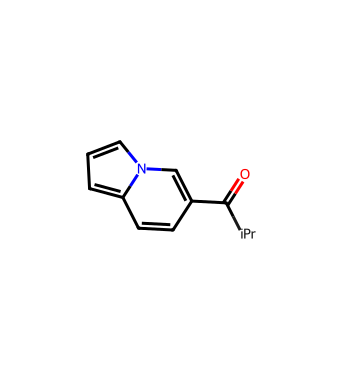 CC(C)C(=O)c1ccc2cccn2c1